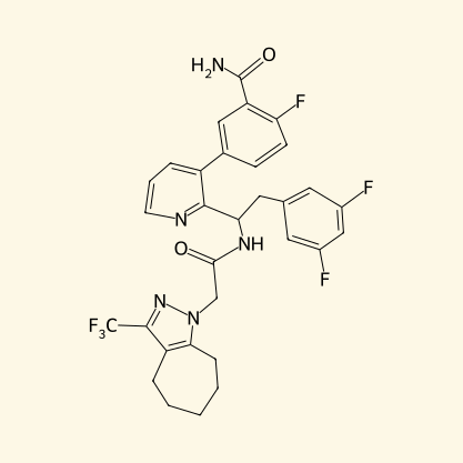 NC(=O)c1cc(-c2cccnc2C(Cc2cc(F)cc(F)c2)NC(=O)Cn2nc(C(F)(F)F)c3c2CCCCC3)ccc1F